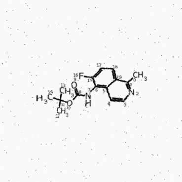 Cc1nccc2c(NC(=O)OC(C)(C)C)c(F)ccc12